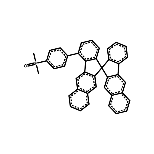 CP(C)(=O)c1ccc(-c2cccc3c2-c2cc4ccccc4cc2C32c3ccccc3-c3cc4ccccc4cc32)cc1